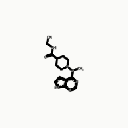 CN(c1ncnc2[nH]ccc12)N1CCC(C(=O)NCC#N)CC1